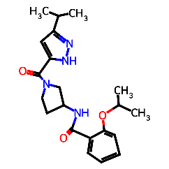 CC(C)Oc1ccccc1C(=O)NC1CCN(C(=O)c2cc(C(C)C)n[nH]2)C1